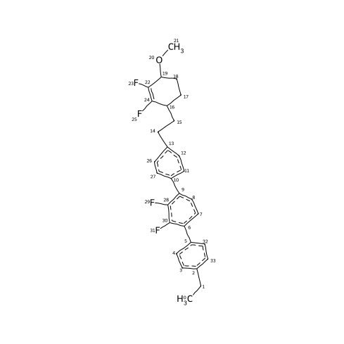 CCc1ccc(-c2ccc(-c3ccc(CCC4CCC(OC)C(F)=C4F)cc3)c(F)c2F)cc1